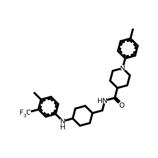 Cc1ccc(N2CCC(C(=O)NCC3CCC(Nc4ccc(C)c(C(F)(F)F)c4)CC3)CC2)cc1